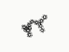 c1ccc(-c2ccc(N(c3ccc(-c4ccccc4)cc3)c3ccc(-c4cccc(-c5ccc6c(c5)Oc5cc(-c7ccccc7)cc7c5N6c5ccccc5O7)c4)cc3)cc2)cc1